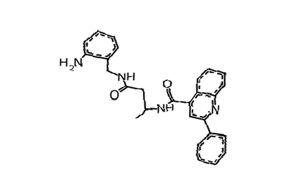 CC(CC(=O)NCc1ccccc1N)NC(=O)c1cc(-c2ccccc2)nc2ccccc12